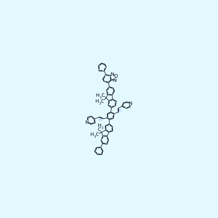 CC1(C)c2cc(-c3ccccc3)ccc2-c2ccc(-c3cc(/C=C/c4ccncc4)c(-c4ccc5c(c4)C(C)(C)c4cc(-c6ccc(-c7ccccc7)c7nonc67)ccc4-5)cc3/C=C/c3ccncc3)cc21